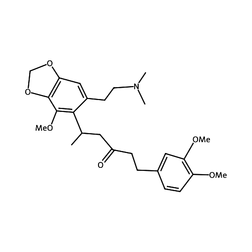 COc1ccc(CCC(=O)CC(C)c2c(CCN(C)C)cc3c(c2OC)OCO3)cc1OC